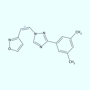 Cc1cc(C)cc(-c2ncn(/C=C\c3ccon3)n2)c1